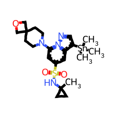 CC1(NS(=O)(=O)c2cc(N3CCC4(CC3)COC4)n3nc[c]([Sn]([CH3])([CH3])[CH3])c3c2)CC1